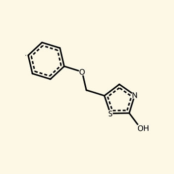 Oc1ncc(COc2cc[c]cc2)s1